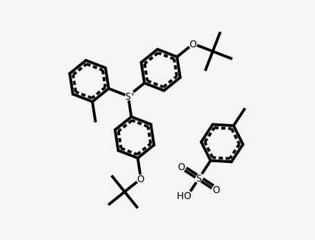 Cc1ccc(S(=O)(=O)O)cc1.Cc1ccccc1[S+](c1ccc(OC(C)(C)C)cc1)c1ccc(OC(C)(C)C)cc1